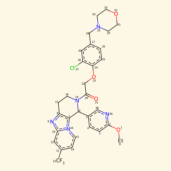 CCOc1ccc(C2c3c(nc4cc(C(F)(F)F)ccn34)CCN2C(=O)COc2ccc(CN3CCOCC3)cc2Cl)cn1